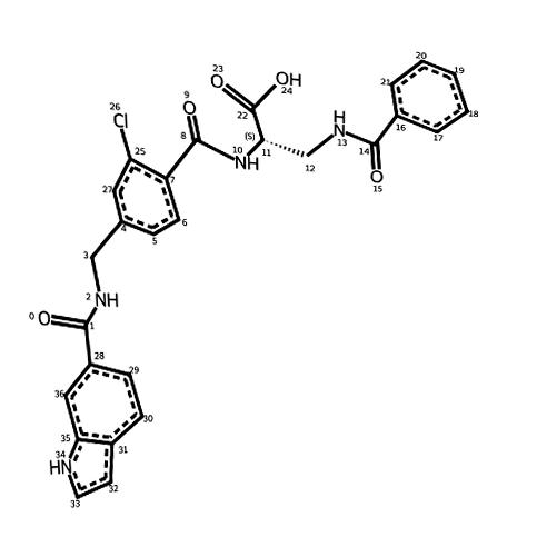 O=C(NCc1ccc(C(=O)N[C@@H](CNC(=O)c2ccccc2)C(=O)O)c(Cl)c1)c1ccc2cc[nH]c2c1